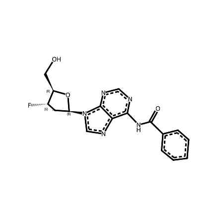 O=C(Nc1ncnc2c1ncn2[C@H]1[CH][C@H](F)[C@@H](CO)O1)c1ccccc1